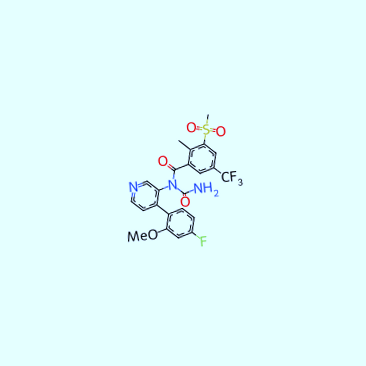 COc1cc(F)ccc1-c1ccncc1N(C(N)=O)C(=O)c1cc(C(F)(F)F)cc(S(C)(=O)=O)c1C